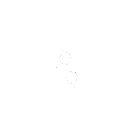 Fc1ccc(-c2cc(Cl)c[c]c2Cl)c(Cl)c1